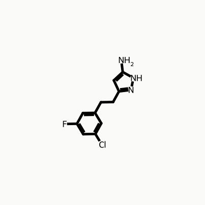 Nc1cc(CCc2cc(F)cc(Cl)c2)n[nH]1